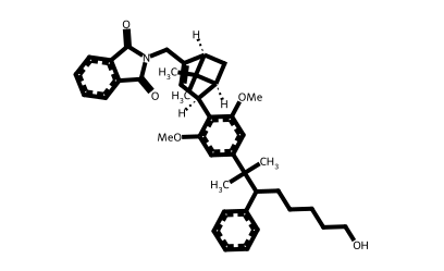 COc1cc(C(C)(C)C(CCCCCO)c2ccccc2)cc(OC)c1[C@H]1C=C(CN2C(=O)c3ccccc3C2=O)[C@H]2C[C@@H]1C2(C)C